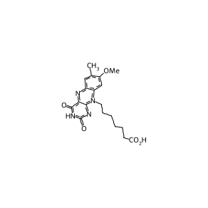 COc1cc2c(cc1C)nc1c(=O)[nH]c(=O)nc-1n2CCCCCCC(=O)O